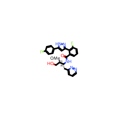 CO[C@H](CO)[C@@H](Cc1cccnn1)NC(=O)c1cccc(F)c1-c1cc(-c2ccc(F)cc2)[nH]n1